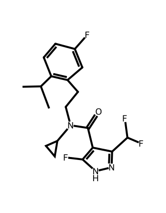 CC(C)c1ccc(F)cc1CCN(C(=O)c1c(C(F)F)n[nH]c1F)C1CC1